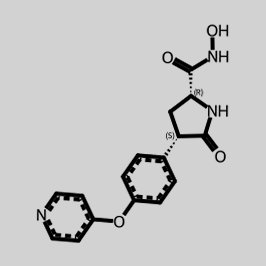 O=C1N[C@@H](C(=O)NO)C[C@H]1c1ccc(Oc2ccncc2)cc1